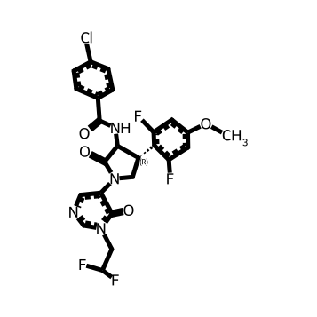 COc1cc(F)c([C@@H]2CN(c3cncn(CC(F)F)c3=O)C(=O)C2NC(=O)c2ccc(Cl)cc2)c(F)c1